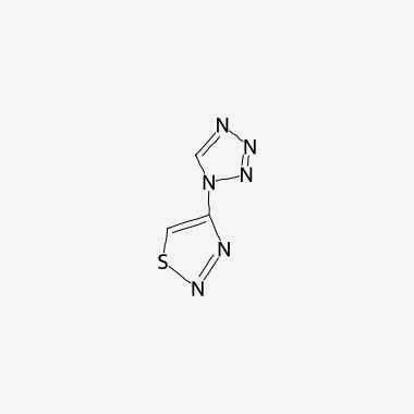 c1snnc1-n1cnnn1